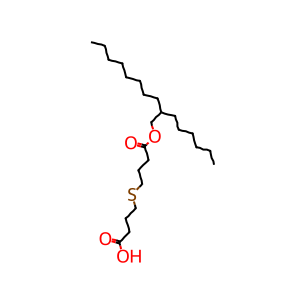 CCCCCCCCC(CCCCCC)COC(=O)CCCSCCCC(=O)O